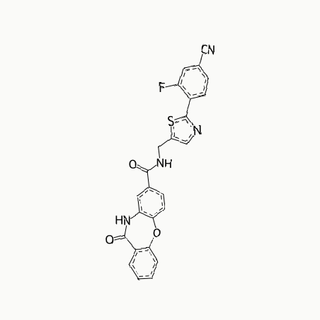 N#Cc1ccc(-c2ncc(CNC(=O)c3ccc4c(c3)NC(=O)c3ccccc3O4)s2)c(F)c1